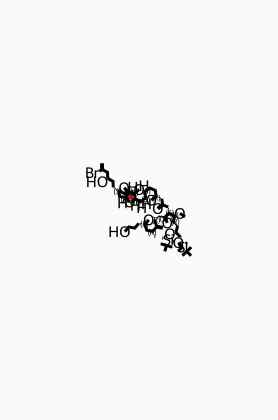 C=C(Br)CC(O)CC[C@@]12C[C@H]3O[C@H]4[C@@H](O1)[C@H]1O[C@@H](CC(=O)C[C@@H]5[C@@H](OC)[C@@H](CC(CO[Si](C)(C)C(C)(C)C)O[Si](C)(C)C(C)(C)C)O[C@H]5C[C@H]5O[C@@H](CCCO)C[C@@H](C)C5=C)CC[C@@H]1O[C@H]4[C@H]3O2